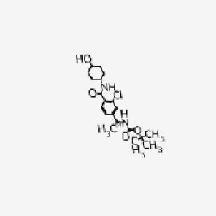 C[C@H](NC(=O)OC(C)(C)C)c1ccc(C(=O)N[C@H]2CC[C@H](O)CC2)c(Cl)c1